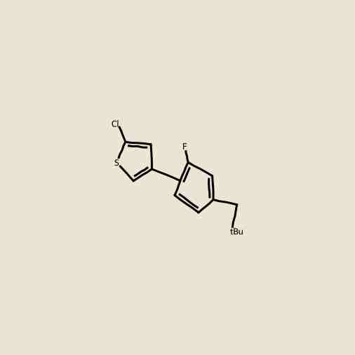 CC(C)(C)Cc1ccc(-c2csc(Cl)c2)c(F)c1